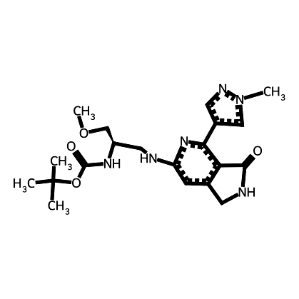 COC[C@@H](CNc1cc2c(c(-c3cnn(C)c3)n1)C(=O)NC2)NC(=O)OC(C)(C)C